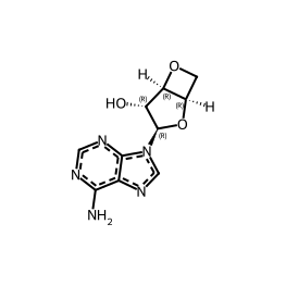 Nc1ncnc2c1ncn2[C@@H]1O[C@@H]2CO[C@@H]2[C@H]1O